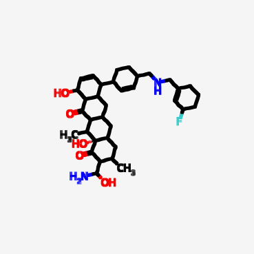 CC1CC2CC3CC4C(C5C=CC(CNCC6=CC(F)CCC6)CC5)C=CC(O)C4C(=O)C3C(C)[C@]2(O)C(=O)C1C(N)O